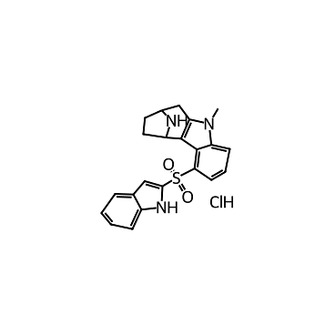 Cl.Cn1c2c(c3c(S(=O)(=O)c4cc5ccccc5[nH]4)cccc31)C1CCC(C2)N1